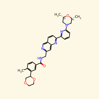 Cc1ccc(C(=O)NCc2cc3nc(-c4cccc(N5C[C@@H](C)O[C@@H](C)C5)n4)ccc3cn2)cc1C1COCCO1